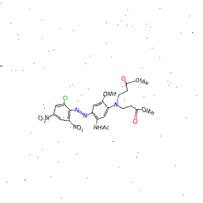 COC(=O)CCN(CCC(=O)OC)c1cc(NC(C)=O)c(/N=N/c2c(Cl)cc([N+](=O)[O-])cc2[N+](=O)[O-])cc1OC